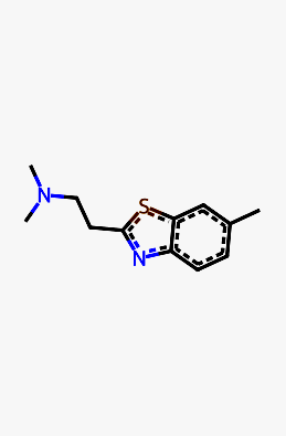 Cc1ccc2nc(CCN(C)C)sc2c1